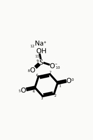 O=C1C=CC(=O)C=C1.O=S([O-])O.[Na+]